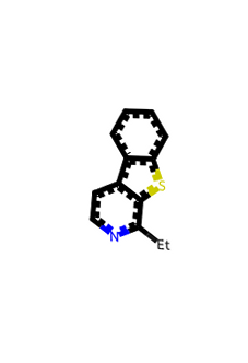 CCc1nccc2c1sc1ccccc12